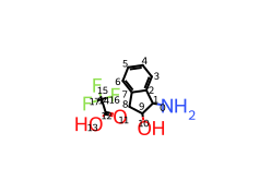 NC1c2ccccc2CC1O.O=C(O)C(F)(F)F